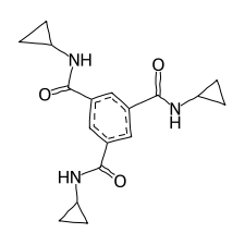 O=C(NC1CC1)c1cc(C(=O)NC2CC2)cc(C(=O)NC2CC2)c1